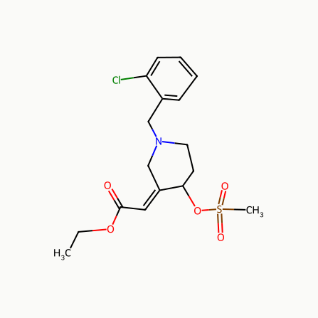 CCOC(=O)C=C1CN(Cc2ccccc2Cl)CCC1OS(C)(=O)=O